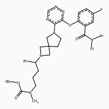 CCN(C(=O)c1cc(F)ccc1Oc1nncnc1N1CCC2(C1)CN(C(CCCN(C)C(=O)OC(C)(C)C)C(C)C)C2)C(C)C